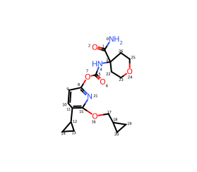 NC(=O)C1(NC(=O)Oc2ccc(C3CC3)c(OCC3CC3)n2)CCOCC1